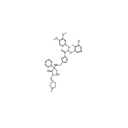 COc1ccc([C@H](Cc2c(Cl)cncc2Cl)OC(=O)c2ccc(CNC(CO)(C(=O)OC[C@H]3CCN(C)C3)c3ccccc3)s2)cc1OC